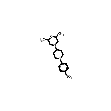 CC1CN(C2CCN(c3ccc([N+](=O)[O-])cc3)CC2)CC(C)O1